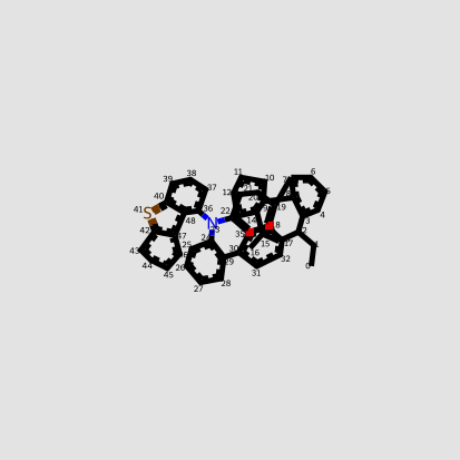 CCC1c2cccc3c2-c2ccccc2C(C)C1C1=C3CCC(N(c2ccccc2-c2ccccc2)c2cccc3sc4ccccc4c23)=C1